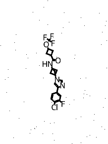 O=C(NC12CC(n3cnc(-c4ccc(Cl)c(F)c4)c3)(C1)C2)C1CC(OC(F)(F)F)C1